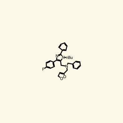 CCCCn1c(-c2ccccc2)nc(-c2ccc(F)cc2)c1CN(CC1=CCOO1)Cc1ccccc1